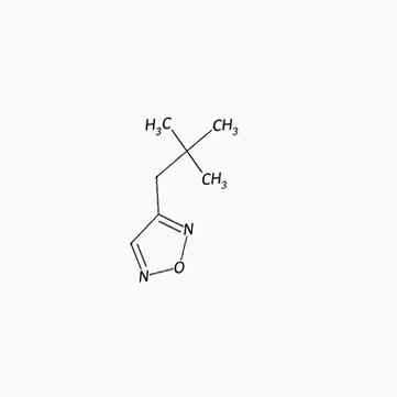 CC(C)(C)Cc1cnon1